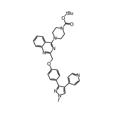 Cn1cc(-c2ccncc2)c(-c2ccc(OCc3nc(N4CCN(C(=O)OC(C)(C)C)CC4)c4ccccc4n3)cc2)n1